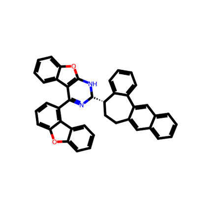 c1ccc2c(c1)-c1cc3ccccc3cc1CC[C@@H]2C1N=C(c2cccc3oc4ccccc4c23)c2c(oc3ccccc23)N1